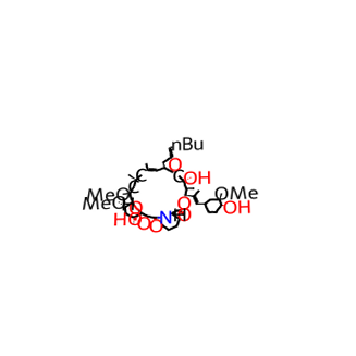 CCCC/C=C/C[C@@H]1/C=C(\C)C[C@H](C)C[C@H](OC)[C@H]2O[C@@](O)(C(=O)C(=O)N3CCCC[C@H]3C(=O)O[C@H](/C(C)=C/[C@@H]3CC[C@@H](O)[C@H](OC)C3)[C@H](C)[C@@H](O)CC1=O)[C@H](C)C[C@@H]2OC